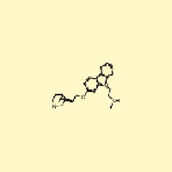 CNCCn1c2ccccc2c2ccc(OCC=C3CN4CCC3CC4)cc21